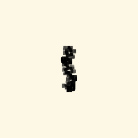 Cc1nonc1CC(=O)N1CCC(c2noc(-c3ccncc3)n2)CC1